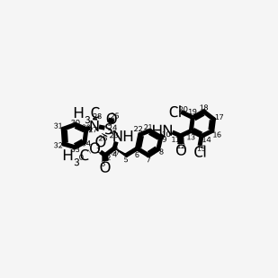 COC(=O)[C@H](Cc1ccc(NC(=O)c2c(Cl)cccc2Cl)cc1)NS(=O)(=O)N(C)c1ccccc1